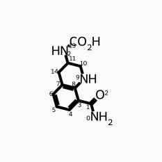 NC(=O)c1cccc2c1NCC(NC(=O)O)C2